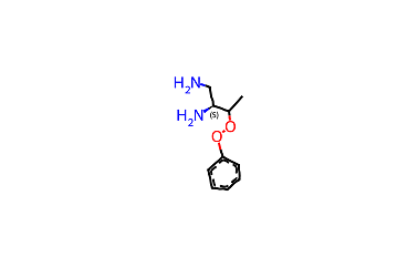 CC(OOc1ccccc1)[C@@H](N)CN